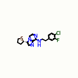 Fc1cc(CCNc2nccn3c([C@@H]4CCCS4)cnc23)ccc1Cl